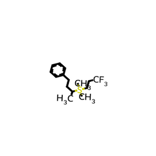 CC(CCc1ccccc1)S(C)(C)CCC(F)(F)F